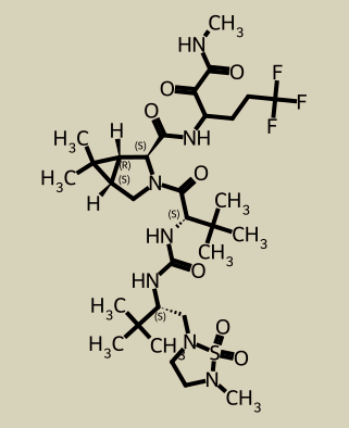 CNC(=O)C(=O)C(CCC(F)(F)F)NC(=O)[C@@H]1[C@@H]2[C@H](CN1C(=O)[C@@H](NC(=O)N[C@H](CN1CCN(C)S1(=O)=O)C(C)(C)C)C(C)(C)C)C2(C)C